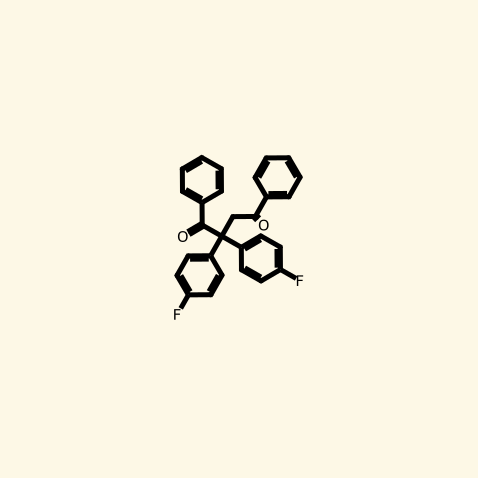 O=C(CC(C(=O)c1ccccc1)(c1ccc(F)cc1)c1ccc(F)cc1)c1ccccc1